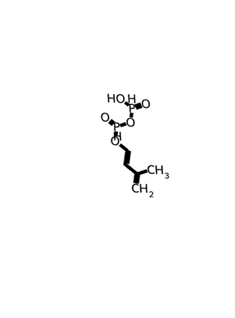 C=C(C)C=CO[PH](=O)O[PH](=O)O